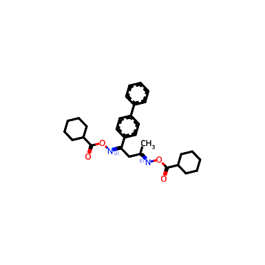 C/C(C/C(=N/OC(=O)C1CCCCC1)c1ccc(-c2ccccc2)cc1)=N\OC(=O)C1CCCCC1